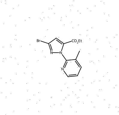 CCOC(=O)c1cc(Br)nn1-c1ncccc1C